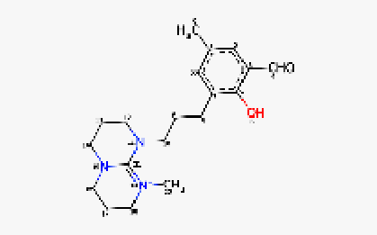 Cc1cc(C=O)c(O)c(CCCN2CCCN3CCC[N+](C)=C23)c1